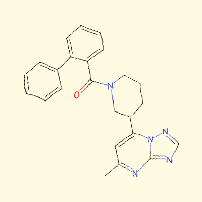 Cc1cc(C2CCCN(C(=O)c3ccccc3-c3ccccc3)C2)n2ncnc2n1